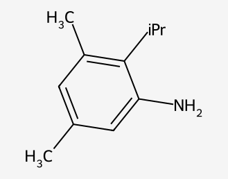 Cc1cc(C)c(C(C)C)c(N)c1